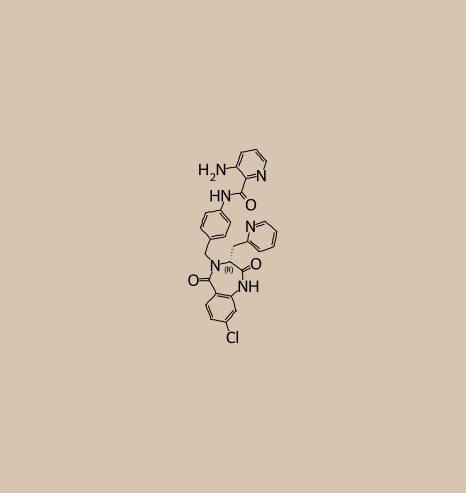 Nc1cccnc1C(=O)Nc1ccc(CN2C(=O)c3ccc(Cl)cc3NC(=O)[C@H]2Cc2ccccn2)cc1